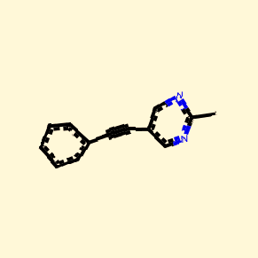 Cc1ncc(C#Cc2ccccc2)cn1